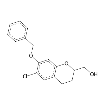 OCC1CCc2cc(Cl)c(OCc3ccccc3)cc2O1